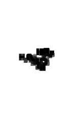 CN1CCN(c2ccnc3ccc(-c4c[nH]nc4CF)cc23)CC1